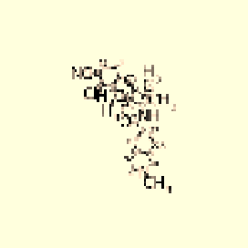 CN1CCc2cc(C(=O)N[C@H]3C(C)(C)[C@H](Oc4ccc(C#N)c(Cl)c4)C3(C)C)ccc2C1